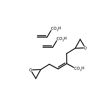 C=CC(=O)O.C=CC(=O)O.O=C(O)C(=CCC1CO1)CC1CO1